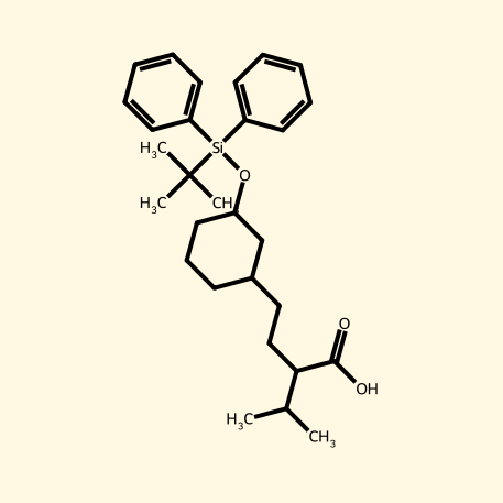 CC(C)C(CCC1CCCC(O[Si](c2ccccc2)(c2ccccc2)C(C)(C)C)C1)C(=O)O